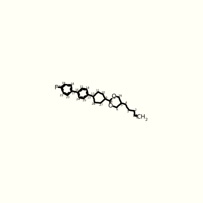 C=CCCCC1COC(C2CCC(c3ccc(-c4ccc(F)cc4)cc3)CC2)OC1